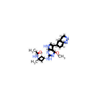 COc1nc(N[C@H]2C[C@@](C)(NC(C)=O)C2)nc2[nH]cc(-c3ccc4nnccc4c3)c12